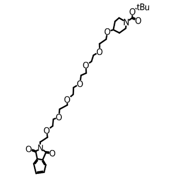 CC(C)(C)OC(=O)N1CCC(OCCOCCOCCOCCOCCOCCOCCN2C(=O)c3ccccc3C2=O)CC1